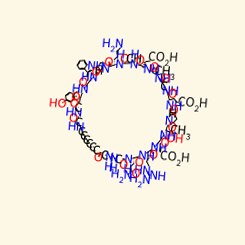 CC1NC(=O)CNC(=O)C(CCC(=O)O)NC(=O)[C@@H]2CCCN2C(=O)[C@H]([C@@H](C)O)NC(=O)[C@H](CCC(=O)O)NC(=O)[C@H](CCCNC(=N)N)NC(=O)[C@H](CCC(N)=O)NC(=O)CNNCC(=O)CCCCCCNCC(=O)NCC(=O)C(=O)[C@H](Cc2ccc(O)cc2)NC(=O)[C@H](Cc2c[nH]c3ccccc23)NC(=O)[C@@H]2CCCN2C(=O)[C@H](CCCCN)NC(=O)C(C)NC(=O)[C@H](CCC(=O)O)NC1=O